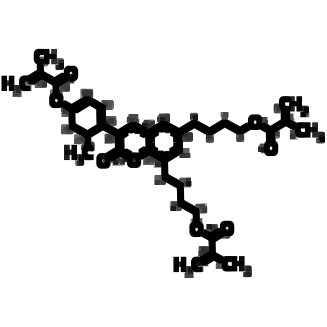 C=C(C)C(=O)OCCCCc1cc(CCCCOC(=O)C(=C)C)c2oc(=O)c(C3=CC=C(OC(=O)C(=C)C)CC3C)cc2c1